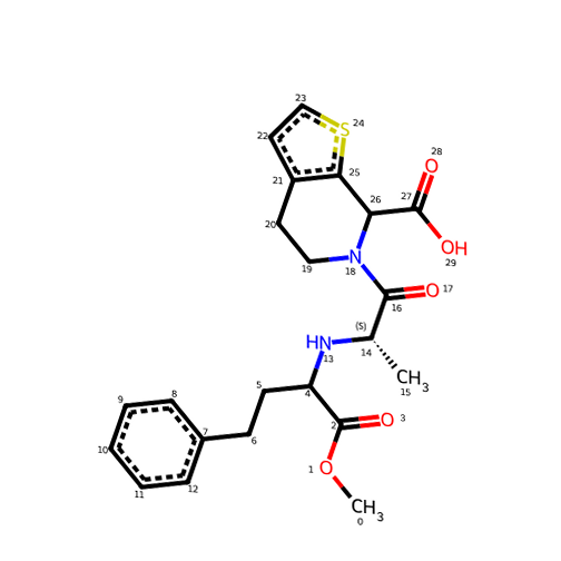 COC(=O)C(CCc1ccccc1)N[C@@H](C)C(=O)N1CCc2ccsc2C1C(=O)O